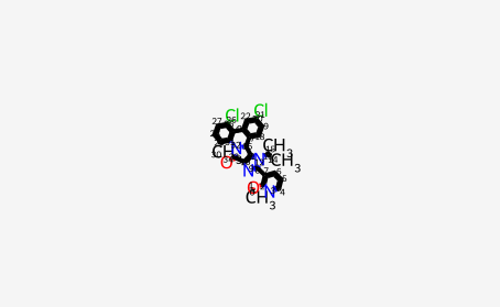 COc1ncccc1-c1nc2c(n1C(C)C)C1c3ccc(Cl)cc3-c3c(Cl)ccc(C)c3N1C2=O